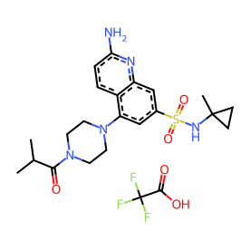 CC(C)C(=O)N1CCN(c2cc(S(=O)(=O)NC3(C)CC3)cc3nc(N)ccc23)CC1.O=C(O)C(F)(F)F